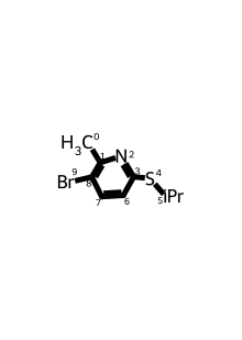 Cc1nc(SC(C)C)ccc1Br